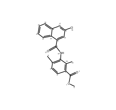 COC(=O)c1ccc(C)c(NC(=O)c2cc(Cl)nc3ccccc23)c1C